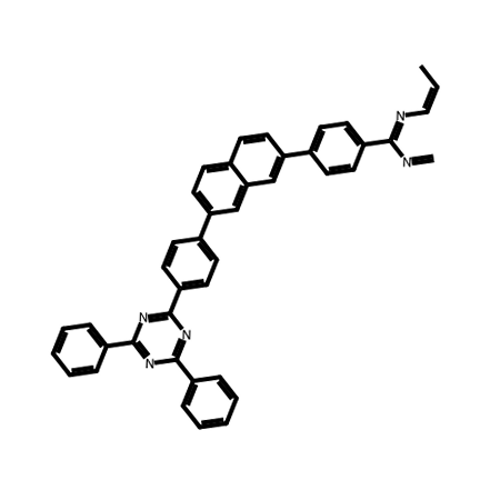 C=N/C(=N\C=C/C)c1ccc(-c2ccc3ccc(-c4ccc(-c5nc(-c6ccccc6)nc(-c6ccccc6)n5)cc4)cc3c2)cc1